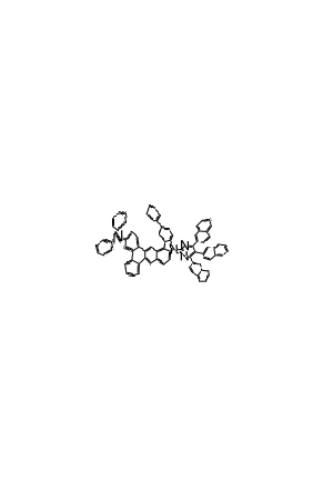 c1ccc(-c2ccc3c(c2)c2c4cc5c6ccc(N(c7ccccc7)c7ccccc7)cc6c6ccccc6c5cc4ccc2n3-c2nc(-c3ccc4ccccc4c3)c(-c3ccc4ccccc4c3)c(-c3ccc4ccccc4c3)n2)cc1